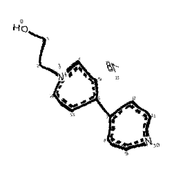 OCC[n+]1ccc(-c2ccncc2)cc1.[Br-]